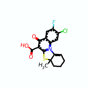 CC12CCCC=C1n1c(c(C(=O)O)c(=O)c3cc(F)c(Cl)cc31)S2